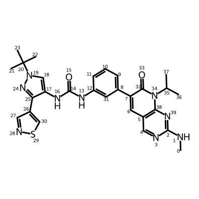 CNc1ncc2cc(-c3cccc(NC(=O)Nc4cn(C(C)(C)C)nc4-c4cnsc4)c3)c(=O)n(C(C)C)c2n1